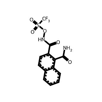 NC(=O)c1c(C(=O)NOS(=O)(=O)C(F)(F)F)ccc2ccccc12